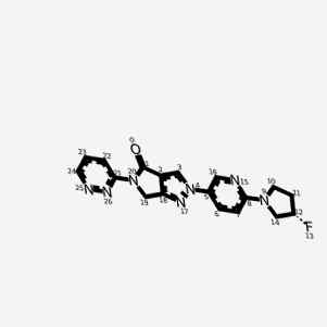 O=C1c2cn(-c3ccc(N4CC[C@H](F)C4)nc3)nc2CN1c1cccnn1